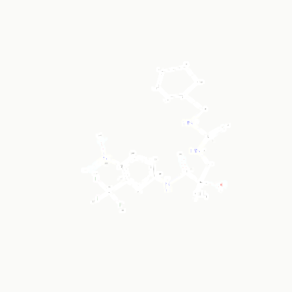 CC(O)(CNC(=S)NCC1CCCCC1)C(=O)Nc1ccc([N+](=O)[O-])c(C(F)(F)F)c1